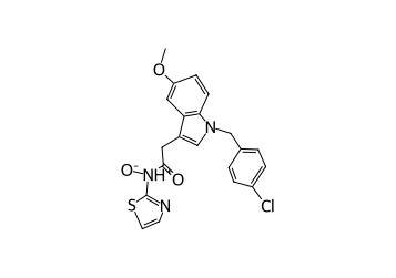 COc1ccc2c(c1)c(CC(=O)[NH+]([O-])c1nccs1)cn2Cc1ccc(Cl)cc1